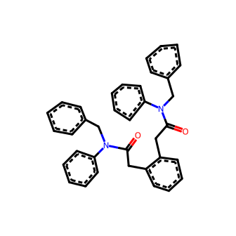 O=C(Cc1ccccc1CC(=O)N(Cc1ccccc1)c1ccccc1)N(Cc1ccccc1)c1ccccc1